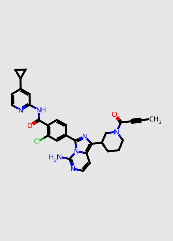 CC#CC(=O)N1CCCC(c2nc(-c3ccc(C(=O)Nc4cc(C5CC5)ccn4)c(Cl)c3)n3c(N)nccc23)C1